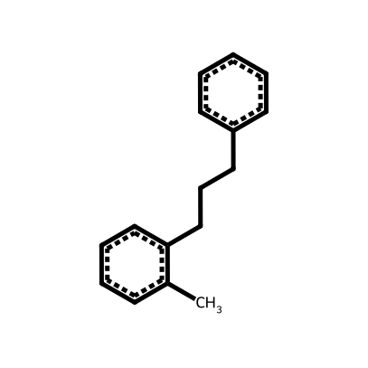 Cc1ccccc1CCCc1ccccc1